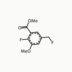 COC(=O)c1cc(CF)cc(OC)c1F